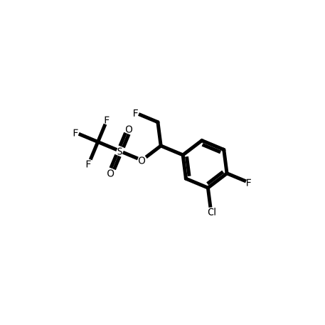 O=S(=O)(OC(CF)c1ccc(F)c(Cl)c1)C(F)(F)F